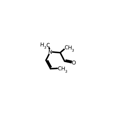 C/C=C\N(C)C(C)C=O